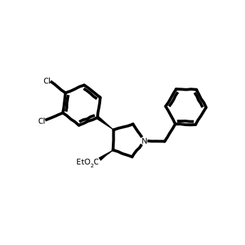 CCOC(=O)[C@@H]1CN(Cc2ccccc2)C[C@@H]1c1ccc(Cl)c(Cl)c1